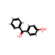 O=C(c1c[c]c(O)cc1)c1ccccc1